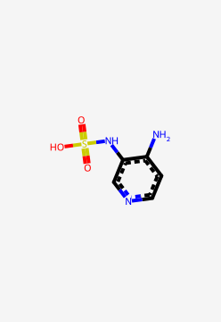 Nc1ccncc1NS(=O)(=O)O